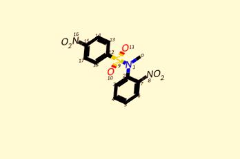 CN(c1ccccc1[N+](=O)[O-])S(=O)(=O)c1ccc([N+](=O)[O-])cc1